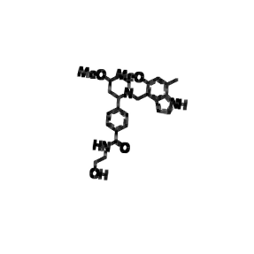 COc1cc(C)c2[nH]ccc2c1CN1CCC(OC)CC1c1ccc(C(=O)NCCO)cc1